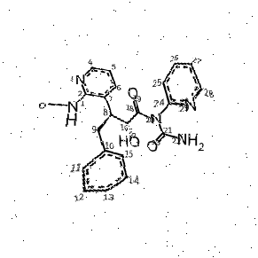 CNc1ncccc1[C@H](Cc1ccccc1)[C@@H](O)C(=O)N(C(N)=O)c1ccccn1